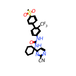 CS(=O)(=O)c1ccc(-c2ccc(NC(=O)NC3(c4ccnc(C#N)n4)CCCCC3)cc2C(F)(F)F)cc1